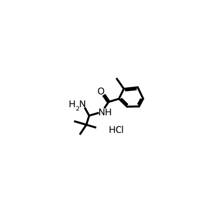 Cc1ccccc1C(=O)NC(N)C(C)(C)C.Cl